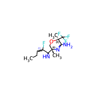 CC/C=C(/F)C(=N)[C@]1(C)CO[C@@](C)(C(F)(F)F)C(N)=N1